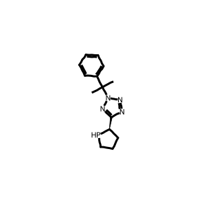 CC(C)(c1ccccc1)n1nnc([C@H]2CCCP2)n1